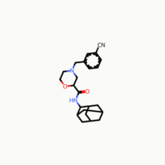 N#Cc1cccc(CN2CCOC(C(=O)NC3C4CC5CC(C4)CC3C5)C2)c1